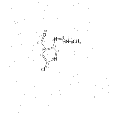 CN/C=N\c1cnc(Cl)cc1C=O